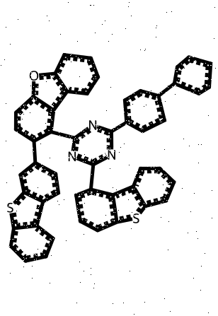 c1ccc(-c2ccc(-c3nc(-c4c(-c5ccc6c(c5)sc5ccccc56)ccc5oc6ccccc6c45)nc(-c4cccc5sc6ccccc6c45)n3)cc2)cc1